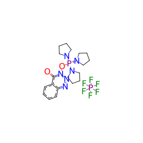 F[P-](F)(F)(F)(F)F.O=c1c2ccccc2nnn1O[P+](N1CCCC1)(N1CCCC1)N1CCCC1